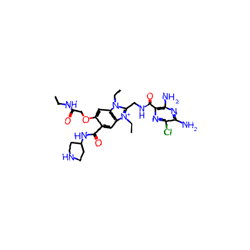 CCNC(=O)COc1cc2c(cc1C(=O)NC1CCNCC1)[n+](CC)c(CNC(=O)c1nc(Cl)c(N)nc1N)n2CC